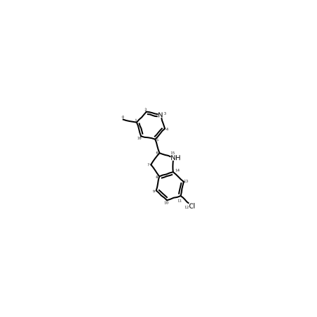 Cc1cncc(C2Cc3ccc(Cl)cc3N2)c1